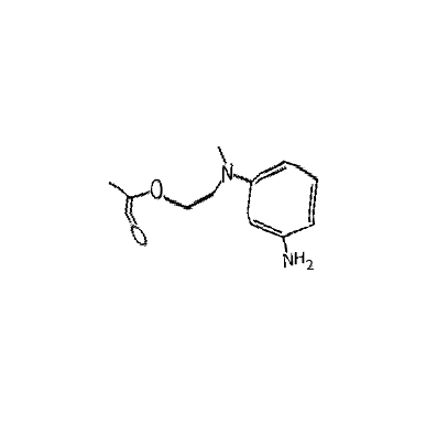 CC(=O)OCN(C)c1cccc(N)c1